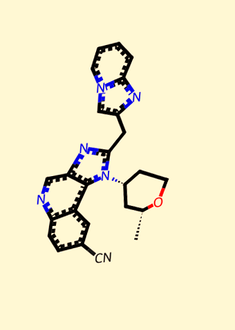 C[C@@H]1C[C@H](n2c(Cc3cn4ccccc4n3)nc3cnc4ccc(C#N)cc4c32)CCO1